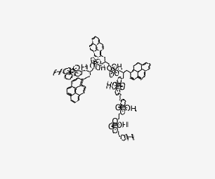 O=P(O)(O)OCC(COP(=O)(O)OCC(COP(=O)(O)OCC(COP(=O)(O)OCCOP(=O)(O)OCCOP(=O)(O)OCCO)Cc1ccc2ccc3cccc4ccc1c2c34)Cc1ccc2ccc3cccc4ccc1c2c34)Cc1ccc2ccc3cccc4ccc1c2c34